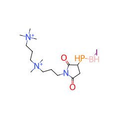 C[N+](C)(C)CCC[N+](C)(C)CCCN1C(=O)CC(PBI)C1=O